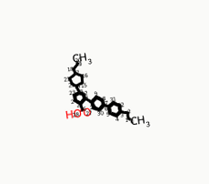 CCCc1ccc(-c2ccc(-c3cc(C4CCC(CCC)CC4)ccc3C(=O)O)cc2)cc1